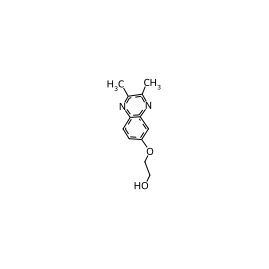 Cc1nc2ccc(OCCO)cc2nc1C